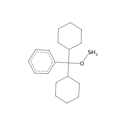 [SiH3]OC(c1ccccc1)(C1CCCCC1)C1CCCCC1